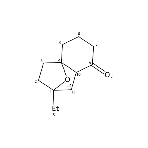 CCC12CCC3(CCCC(=O)C3C1)O2